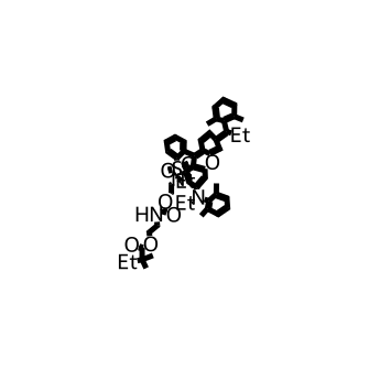 CC/C(c1c(C)cccc1C)=c1/ccc2c(c1)Oc1cc(N(CC)c3c(C)cccc3C)ccc1C=2c1ccccc1S(=O)(=O)N(CC)CCOC(=O)NCCOC(=O)C(C)(C)CC